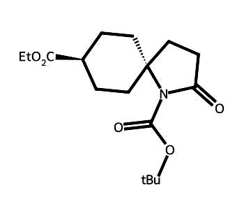 CCOC(=O)[C@H]1CC[C@@]2(CCC(=O)N2C(=O)OC(C)(C)C)CC1